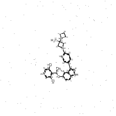 C[C@@H](Oc1ccc2[nH]nc(-c3ccc(N4CC(C)(N5CCC5)C4)nc3)c2c1)c1c(Cl)cncc1Cl